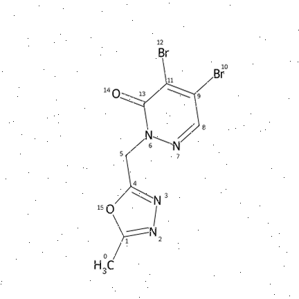 Cc1nnc(Cn2ncc(Br)c(Br)c2=O)o1